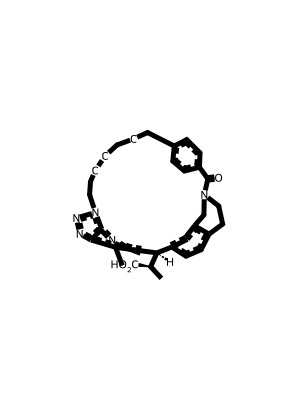 Cc1c2cnc3c1nnn3CCCCCCCc1ccc(cc1)C(=O)N1CCc3ccc(cc3C1)[C@H]2[C@@H](C)C(=O)O